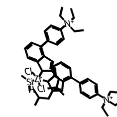 CC[N+](CC)(CC)c1ccc(-c2cccc3c2C=C(CC(C)C)[CH]3[Zr]([Cl])([Cl])([CH]2C(CC(C)C)=Cc3c(-c4ccc([N+](CC)(CC)CC)cc4)cccc32)[SiH](C)C)cc1